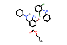 CCN(Cc1cc(C(=O)OCCOC(C)=O)cc(Br)c1N)C1CCCCC1.Clc1cccc(Cl)c1Nc1ccccc1